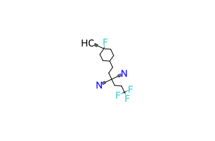 C#CC1(F)CCC(CCC(C#N)(C#N)CCC(F)(F)F)CC1